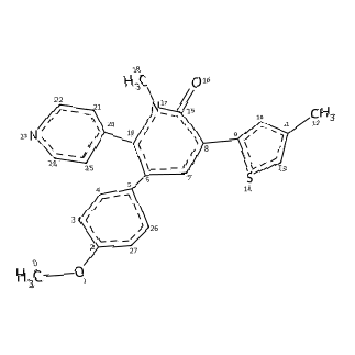 COc1ccc(-c2cc(-c3cc(C)cs3)c(=O)n(C)c2-c2ccncc2)cc1